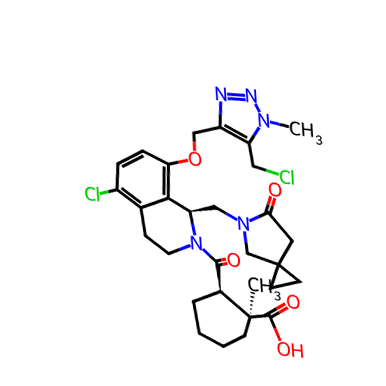 Cn1nnc(COc2ccc(Cl)c3c2[C@@H](CN2CC4(CC4)CC2=O)N(C(=O)[C@@H]2CCCC[C@]2(C)C(=O)O)CC3)c1CCl